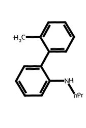 [CH2]c1ccccc1-c1ccccc1NCCC